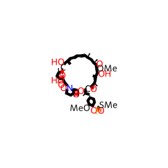 CO[C@@H]1C[C@H](C[C@@H](C)[C@@H]2CC(=O)[C@H](C)/C=C(\C)[C@@H](O)[C@@H](OC)C(=O)[C@H](C)C[C@H](C)/C=C/C=C/C=C(\C)[C@@H](O)C[C@@H]3CC[C@@H](C)[C@@](O)(O3)C(=O)C(=O)N3CCCC[C@H]3C(=O)O2)CC[C@H]1OP(C)(=O)CSC